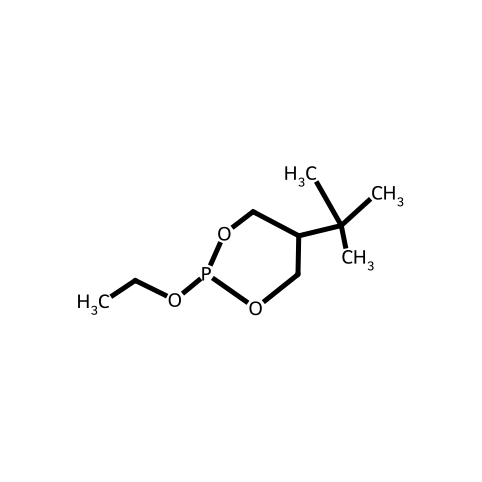 CCOP1OCC(C(C)(C)C)CO1